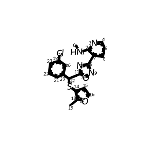 CNc1ncccc1-c1noc(C(Sc2ccoc2C)c2cccc(Cl)c2)n1